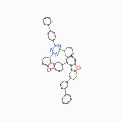 C1=CCC(c2nc(C3=c4c(oc5ccc(-c6cccc7oc8c(c67)C=C(c6cccc(-c7ccccc7)c6)CC8)cc45)=CCC3)nc(-c3ccc(-c4ccccc4)cc3)n2)C=C1